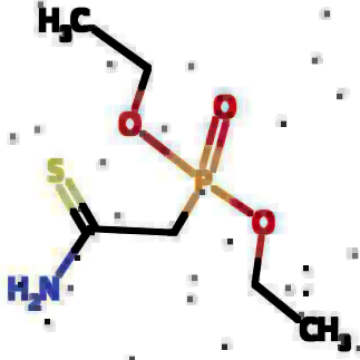 CCOP(=O)(CC(N)=S)OCC